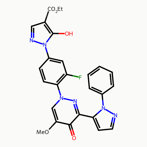 CCOC(=O)c1cnn(-c2ccc(-n3cc(OC)c(=O)c(-c4ccnn4-c4ccccc4)n3)c(F)c2)c1O